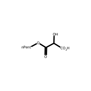 CCCCCOC(=O)C(O)C(=O)O